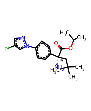 CC(C)OC(=O)[C@@](N)(CC(C)(C)C)c1ccc(-n2cc(F)cn2)cc1